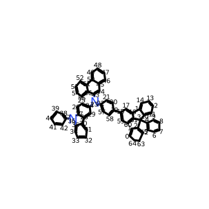 C1=CC(C2(c3ccccc3)c3ccccc3-c3cc(-c4ccc(N(c5ccc6c(c5)c5ccccc5n6-c5ccccc5)c5cc6ccccc6c6ccccc56)cc4)ccc32)=CCC1